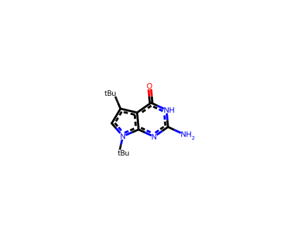 CC(C)(C)c1cn(C(C)(C)C)c2nc(N)[nH]c(=O)c12